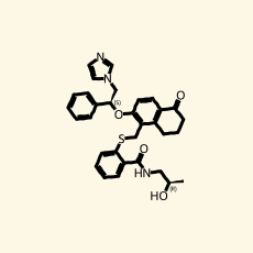 C[C@@H](O)CNC(=O)c1ccccc1SCc1c(O[C@H](Cn2ccnc2)c2ccccc2)ccc2c1CCCC2=O